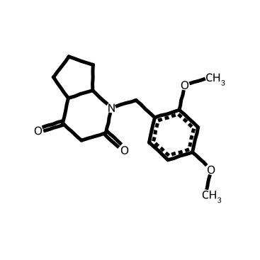 COc1ccc(CN2C(=O)CC(=O)C3CCCC32)c(OC)c1